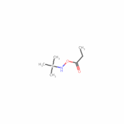 CCC(=O)ON[Si](C)(C)C